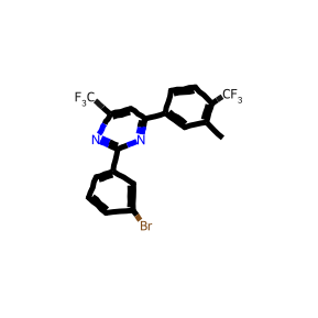 Cc1cc(-c2cc(C(F)(F)F)nc(-c3cccc(Br)c3)n2)ccc1C(F)(F)F